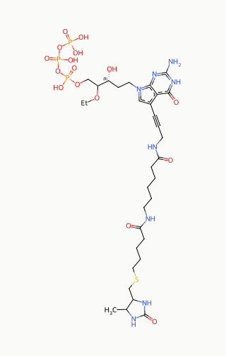 CCOC(COP(=O)(O)OP(=O)(O)OP(=O)(O)O)[C@H](O)CCn1cc(C#CCNC(=O)CCCCCNC(=O)CCCCSCC2NC(=O)NC2C)c2c(=O)[nH]c(N)nc21